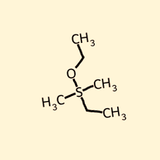 CCOS(C)(C)CC